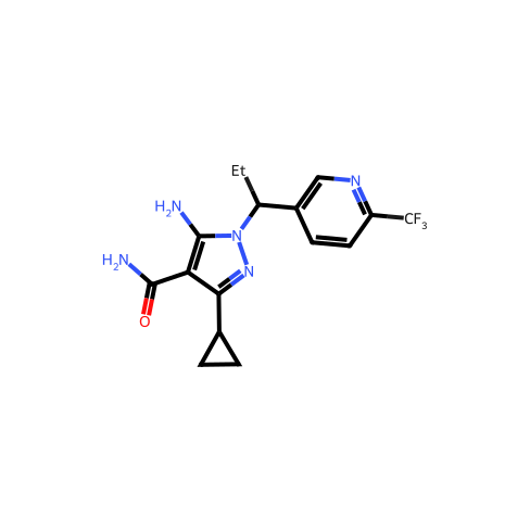 CCC(c1ccc(C(F)(F)F)nc1)n1nc(C2CC2)c(C(N)=O)c1N